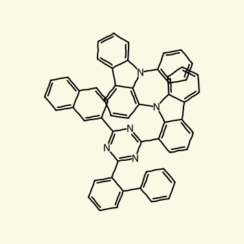 c1ccc(-c2ccccc2-c2nc(-c3ccc4ccccc4c3)nc(-c3cccc4c5ccccc5n(-c5cccc6c7ccccc7n(-c7ccccc7)c56)c34)n2)cc1